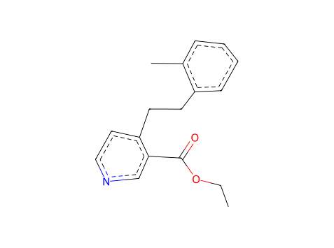 CCOC(=O)c1cnccc1CCc1ccccc1C